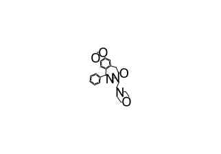 O=C1Cc2cc3c(cc2C(c2ccccc2)=NN1CCN1CCOCC1)OCO3